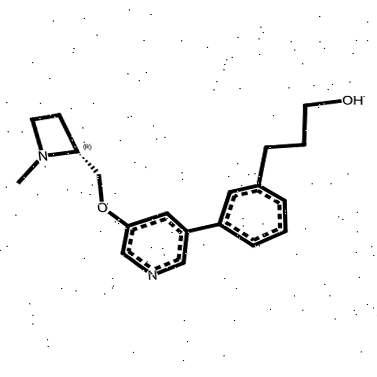 CN1CC[C@@H]1COc1cncc(-c2cccc(CCCO)c2)c1